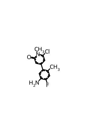 Cc1cc(F)c(N)cc1-c1cc(Cl)n(C)c(=O)c1